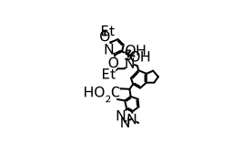 CCOc1ccc2c(n1)O[C@H](CC)CN(Cc1cc(C(CC(=O)O)c3ccc4c(nnn4C)c3C)cc3c1CCC3)S2(O)O